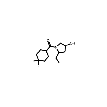 CCC1C[C@H](O)CN1C(=O)C1CCC(F)(F)CC1